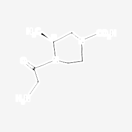 C[C@H]1CN(C(=O)O)CCN1C(=O)CN